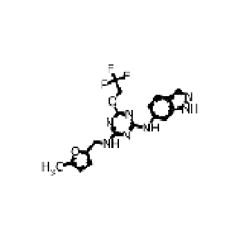 Cc1ccc(CNc2nc(Nc3ccc4cn[nH]c4c3)nc(OCC(F)(F)F)n2)o1